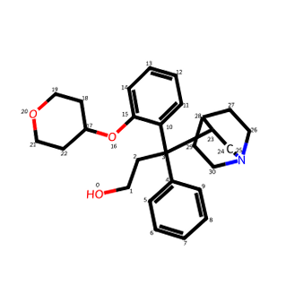 OCCC(c1ccccc1)(c1ccccc1OC1CCOCC1)C1CN2CCC1CC2